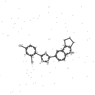 Clc1ccc(-c2nc(-c3ccc4[nH]c5c(c4c3)CC[CH]5)no2)c(Br)c1